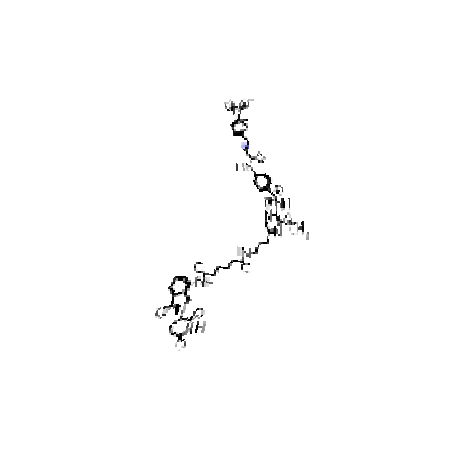 COc1nc(CCCNC(=O)CCCCC(=O)Nc2cccc3c2CN(C2CCC(=O)NC2=O)C3=O)cnc1NS(=O)(=O)c1ccc(NC(=O)/C=C/c2ccc([N+](=O)[O-])s2)cc1